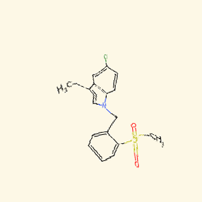 Cc1cn(Cc2ccccc2S(C)(=O)=O)c2ccc(Cl)cc12